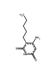 CCCCCn1c(N)cc(=O)[nH]c1=S